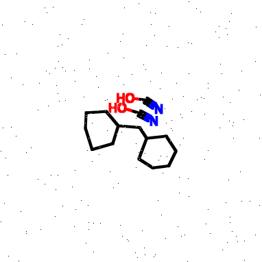 C1CCC(CC2CCCCC2)CC1.N#CO.N#CO